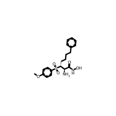 COc1ccc(S(=O)(=O)[C@H](CCCCc2ccccc2)[C@H](N)C(=O)NO)cc1